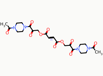 CC(=O)N1CCN(C(=O)C(=O)COC(=O)/C=C/C(=O)OCC(=O)C(=O)N2CCN(C(C)=O)CC2)CC1